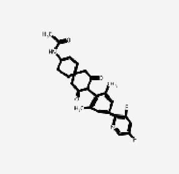 CC(=O)NC1CCC2(CC1)CC(=O)C(c1c(C)cc(-c3ncc(F)cc3F)cc1C)C(=O)C2